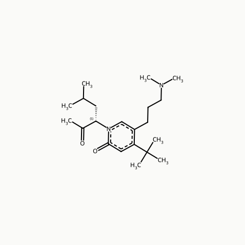 CC(=O)[C@H](CC(C)C)n1cc(CCCN(C)C)c(C(C)(C)C)cc1=O